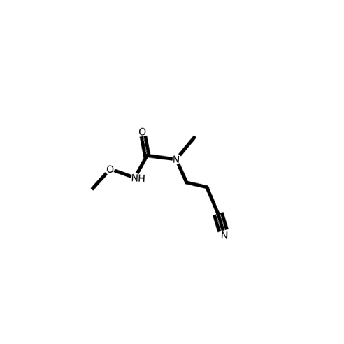 CONC(=O)N(C)CCC#N